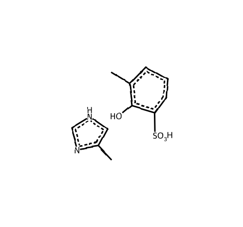 Cc1c[nH]cn1.Cc1cccc(S(=O)(=O)O)c1O